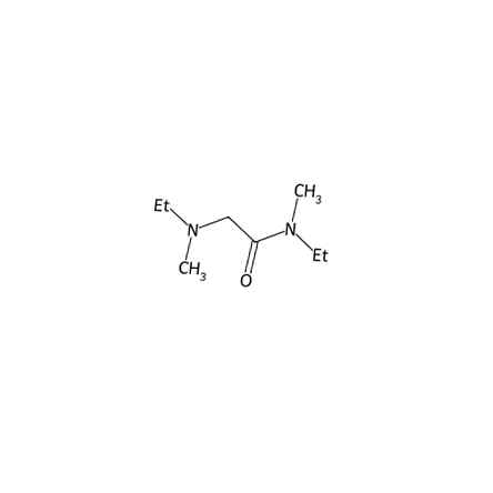 CCN(C)CC(=O)N(C)CC